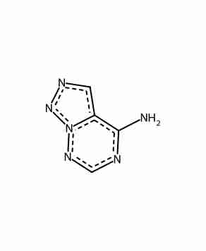 Nc1ncnn2nncc12